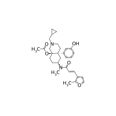 CC(=O)O[C@]12CC[C@H](N(C)C(=O)/C=C/c3ccoc3C)C[C@]1(c1cccc(O)c1)CCN(CC1CC1)C2